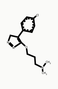 CN(C)CCCOC1=C(c2ccc(Cl)cc2)CN=N1